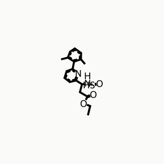 CCOC(=O)CC(N[SH]=O)c1cccc(-c2c(C)cccc2C)n1